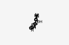 Cc1nnn(-c2ccc(-c3cnc(N(C)[C@@H]4C[C@H]5CC[C@](C)(N5)[C@H]4F)cn3)c(O)c2)n1